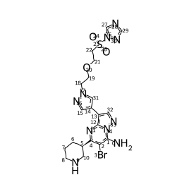 Nc1c(Br)c([C@@H]2CCCNC2)nc2c(-c3cnn(CCOCCS(=O)(=O)n4cncn4)c3)cnn12